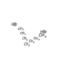 Br.Br.C.C.C.C.C.C.C